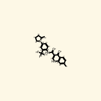 Cc1ccc2c(=O)c(C(=O)Nc3ccc(N4CCCC4C)cc3C(F)(F)F)c[nH]c2c1